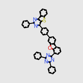 c1ccc(-c2nc(-c3ccccc3)nc(-c3cccc4c3oc3cc(-c5ccc(-c6nc(-c7ccccc7)nc7c6sc6ccccc67)cc5)ccc34)n2)cc1